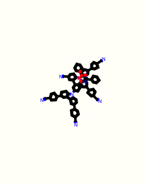 N#Cc1ccc(-c2ccc3c(c2)c2cc(-c4ccc(C#N)cc4)ccc2n3-c2ccc(-c3nc(-c4ccccc4)nc(-c4ccccc4)n3)c(-c3cc(C#N)ccc3-n3c4ccc(-c5ccc(C#N)cc5)cc4c4cc(-c5ccc(C#N)cc5)ccc43)c2)cc1